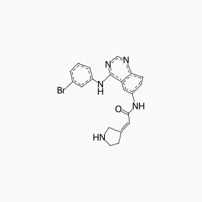 O=C(C=C1CCNC1)Nc1ccc2ncnc(Nc3cccc(Br)c3)c2c1